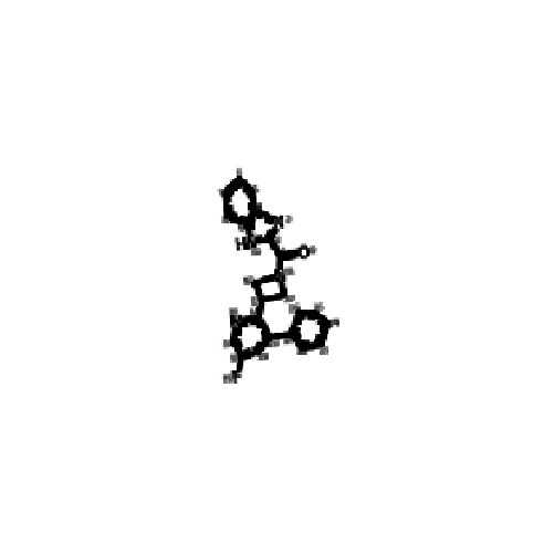 O=C(c1nc2ccccc2[nH]1)N1CC(c2ncc(F)cc2-c2ccccc2)C1